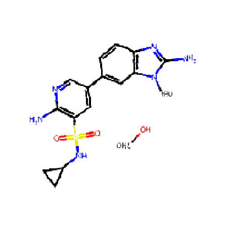 CC(C)(C)n1c(N)nc2ccc(-c3cnc(N)c(S(=O)(=O)NC4CC4)c3)cc21.O=CO